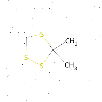 CC1(C)SCSS1